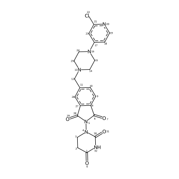 O=C1CCN(N2C(=O)c3ccc(CN4CCN(c5ccnc(Cl)c5)CC4)cc3C2=O)C(=O)N1